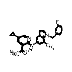 COC(=O)c1cc(C2CC2)cnc1Nc1cc(C)c2c(ccn2Cc2cccc(F)c2)c1